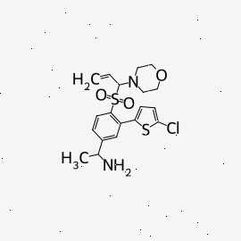 C=CC(N1CCOCC1)S(=O)(=O)c1ccc(C(C)N)cc1-c1ccc(Cl)s1